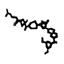 COc1cc(Nc2ccc3ncc(-c4cn(C5CCN(C(=O)C6(F)CN(C(=O)/C=C/CN(C)C)C6)CC5)nc4C)nc3c2)cc(OC)c1